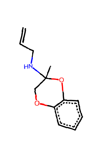 C=CCNC1(C)COc2ccccc2O1